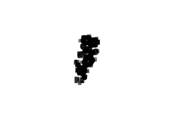 COc1cnc(C#N)c(-c2ccc3c(=O)n(-c4cncc5ccccc45)c(=O)[nH]c3c2)c1